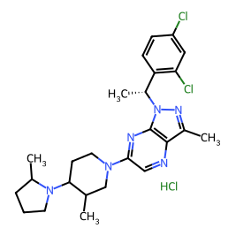 Cc1nn([C@H](C)c2ccc(Cl)cc2Cl)c2nc(N3CCC(N4CCCC4C)C(C)C3)cnc12.Cl